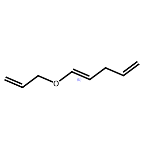 C=CC/C=C/OCC=C